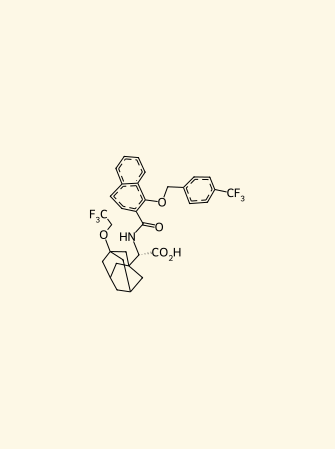 O=C(N[C@H](C(=O)O)C12CC3CC(CC(OCC(F)(F)F)(C3)C1)C2)c1ccc2ccccc2c1OCc1ccc(C(F)(F)F)cc1